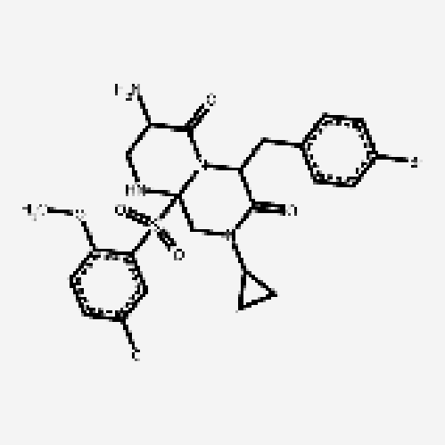 COc1ccc(Cl)cc1S(=O)(=O)C12CN(C3CC3)C(=O)C(Cc3ccc(Br)cc3)N1C(=O)C(N)CN2